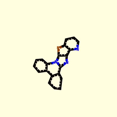 c1cnc2c(c1)sc1c2nc2c3ccccc3c3ccccc3n21